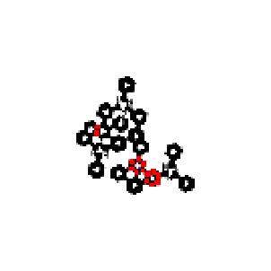 c1ccc(-c2cc(-c3ccc4cc(-c5cccc(-c6nc(-c7ccccc7)nc(-c7cccc(-c8cccc(-c9ccccc9-c9cc(-c%10cccc%11ccccc%10%11)nc(-c%10ccccc%10)n9)c8-c8cccnc8)c7)n6)c5)ccc4c3)nc(-c3ccccc3-c3cccc(-c4ccc(-c5nc(-c6ccccc6)nc(-c6ccccc6)n5)cc4)c3-c3ccccn3)n2)cc1